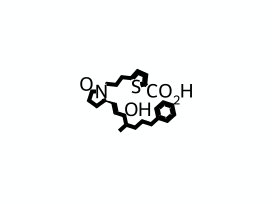 CC(CCCc1ccccc1)[C@@H](O)C=C[C@H]1CCC(=O)N1CCCc1ccc(C(=O)O)s1